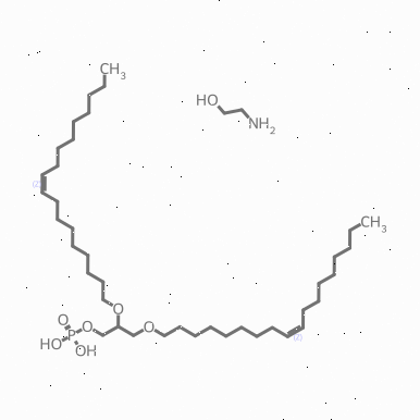 CCCCCCCC/C=C\CCCCCCCCOCC(COP(=O)(O)O)OCCCCCCCC/C=C\CCCCCCCC.NCCO